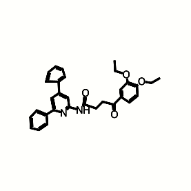 CCOc1ccc(C(=O)CCC(=O)Nc2cc(-c3ccccc3)cc(-c3ccccc3)n2)cc1OCC